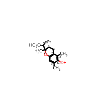 CCCC(C(=O)O)C1(C)CCc2c(cc(C)c(O)c2C)O1